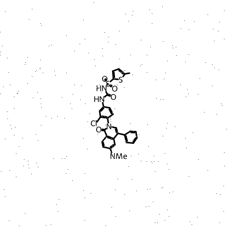 CNc1ccc2c(=O)n(-c3ccc(NC(=O)NS(=O)(=O)c4ccc(C)s4)cc3Cl)cc(-c3ccccc3)c2c1